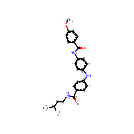 COc1ccc(C(=O)Nc2ccc(Nc3ccc(C(=O)NCCC(C)C)cc3)cc2)cc1